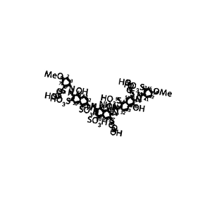 COc1ccc(N=Nc2c(S(=O)(=O)O)cc3c(S(=O)(=O)O)c(N=Nc4cc(S(=O)(=O)O)c5cc(SOOO)c(N=Nc6ccc7c(O)c(N=Nc8ccc(OC)cc8S(=O)(=O)O)c(SOOO)cc7c6S(=O)(=O)O)c(O)c5c4N)ccc3c2O)c(SOOO)c1